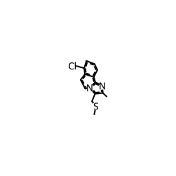 CSCc1c(C)nc2c3cccc(Cl)c3ccn12